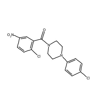 O=C(c1cc([N+](=O)[O-])ccc1Cl)N1CCN(c2ccc(Cl)cc2)CC1